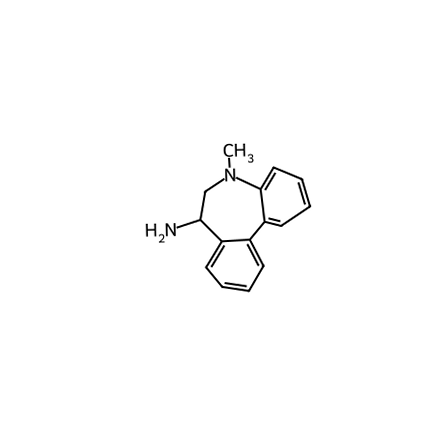 CN1CC(N)c2ccccc2-c2ccccc21